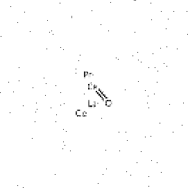 [Ce].[La].[O]=[Ce].[Pr]